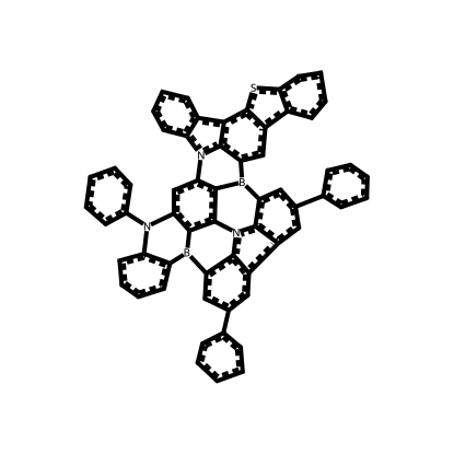 c1ccc(-c2cc3c4c(c2)c2cc(-c5ccccc5)cc5c2n4-c2c4c(cc6c2B5c2cc5c7ccccc7sc5c5c7ccccc7n-6c25)N(c2ccccc2)c2ccccc2B43)cc1